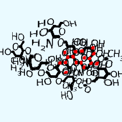 CC(=O)OCC1O[C@@H](O[C@@H]2C(CO)O[C@@H](O[C@@H]3C(O)[C@H](O)C(CO[C@@H]4OC(CO)[C@@H](O)C(O)[C@@H]4N)O[C@@H]3OCC3O[C@@H](O[C@@H]4C(CO)O[C@@H](O[C@@H]5C(CO)OC(O)[C@@H](C)C5O)[C@@H](N)C4O)C(O)C(O[C@@H]4OC(CO)[C@H](O)C(O)[C@@H]4O[C@@H]4OC(CO)[C@@H](O[C@@H]5OC(CO)[C@H](O)C(O)[C@@H]5O)C(O)[C@@H]4N)[C@@H]3O)[C@@H](N)C2O)[C@@H](OC(C)=O)C(O)[C@H]1O